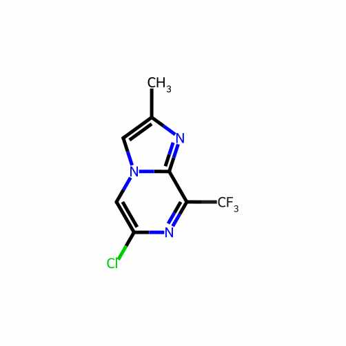 Cc1cn2cc(Cl)nc(C(F)(F)F)c2n1